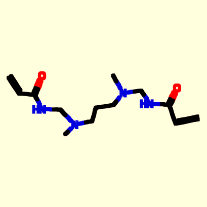 C=CC(=O)NCN(C)CCCN(C)CNC(=O)C=C